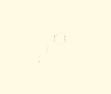 CCC[C@H](C)c1ccc(I)cc1